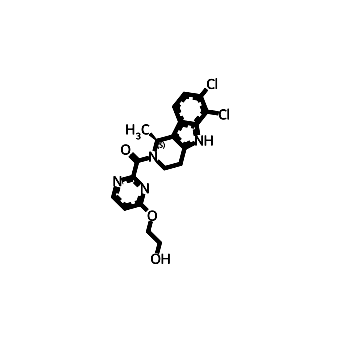 C[C@H]1c2c([nH]c3c(Cl)c(Cl)ccc23)CCN1C(=O)c1nccc(OCCO)n1